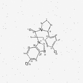 CC(C)(C(=O)N1CCCC1c1ccc(Cl)cc1)n1cnc2cc(Cl)ccc21